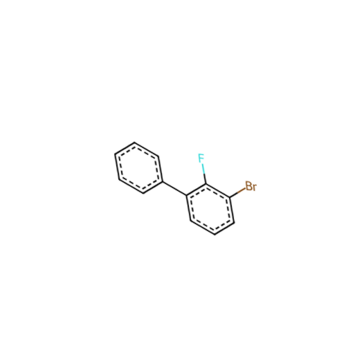 Fc1c(Br)cccc1-c1ccccc1